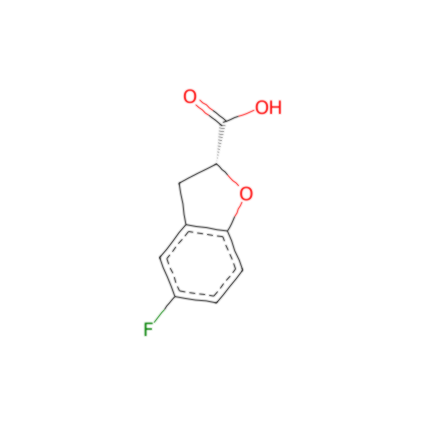 O=C(O)[C@H]1Cc2cc(F)ccc2O1